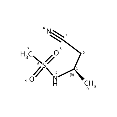 C[C@H](CC#N)NS(C)(=O)=O